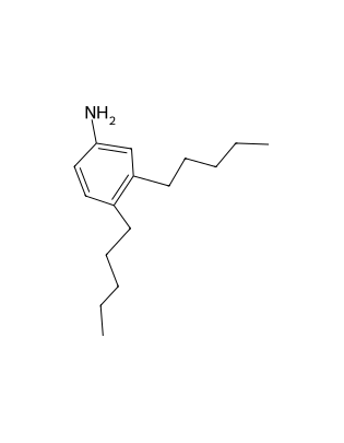 CCCCCc1ccc(N)cc1CCCCC